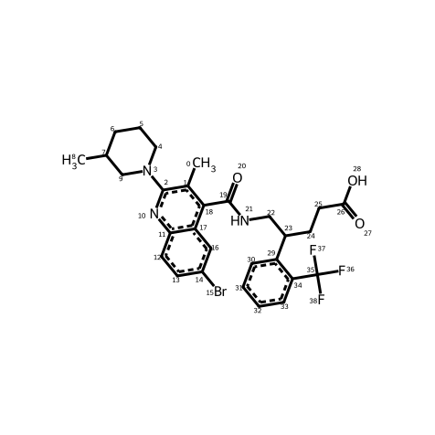 Cc1c(N2CCCC(C)C2)nc2ccc(Br)cc2c1C(=O)NCC(CCC(=O)O)c1ccccc1C(F)(F)F